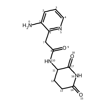 Nc1cccnc1CC(=O)NC1CCC(=O)NC1=O